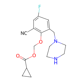 N#Cc1cc(F)cc(CN2CCNCC2)c1OCOC(=O)C1CC1